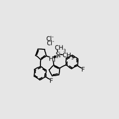 C[Si](C)=[Hf+2]([C]1=C(c2cccc(F)c2)C=CC1)[C]1=C(c2cccc(F)c2)C=CC1.[Cl-].[Cl-]